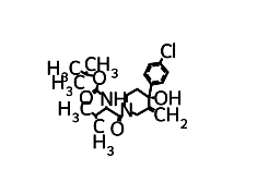 C=C1CN(C(=O)C(NC(=O)OC(C)(C)C)C(C)C)CC[C@]1(O)c1ccc(Cl)cc1